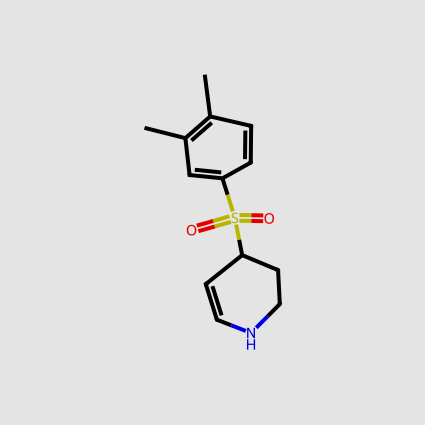 Cc1ccc(S(=O)(=O)C2C=CNCC2)cc1C